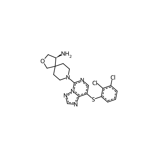 N[C@@H]1COCC12CCN(c1ncc(Sc3cccc(Cl)c3Cl)c3ncnn13)CC2